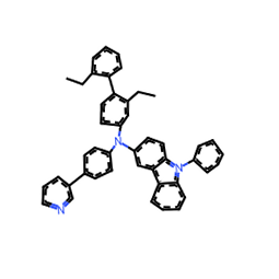 CCc1ccccc1-c1ccc(N(c2ccc(-c3cccnc3)cc2)c2ccc3c(c2)c2ccccc2n3-c2ccccc2)cc1CC